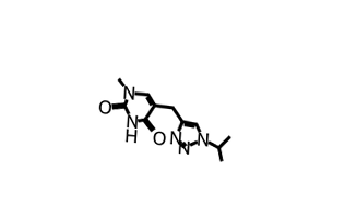 CC(C)n1cc(Cc2cn(C)c(=O)[nH]c2=O)nn1